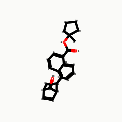 CC1(OC(=O)c2cccc3c(C4CC5C=CC4C5=O)cccc23)CCCC1